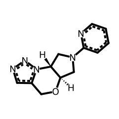 c1ccc(N2C[C@@H]3[C@@H](C2)OCc2cnnn23)nc1